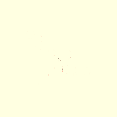 c1cc(-c2ccc3ccccc3c2)cc(N(c2ccc(-c3ccc4c(c3)sc3ccccc34)cc2)c2ccccc2-c2cccc3oc4c5ccccc5ccc4c23)c1